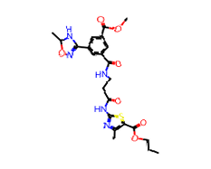 CCCOC(=O)c1sc(NC(=O)CCNC(=O)c2cc(C(=O)OC)cc(C3=NOC(C)N3)c2)nc1C